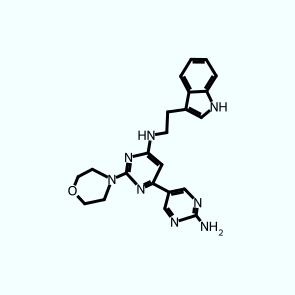 Nc1ncc(-c2cc(NCCc3c[nH]c4ccccc34)nc(N3CCOCC3)n2)cn1